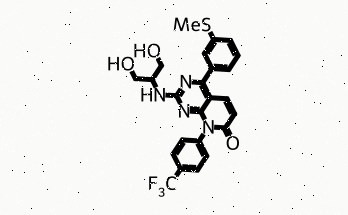 CSc1cccc(-c2nc(NC(CO)CO)nc3c2ccc(=O)n3-c2ccc(C(F)(F)F)cc2)c1